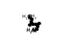 CC1(C)CN=C(c2cccc(-c3ccc4c(c3)c3cc(-c5ccc6c(c5)c5cc(-c7cccc(C8=NCC(C)(C)O8)n7)ccc5n6-c5ccccc5)ccc3n4-c3ccccc3)n2)O1